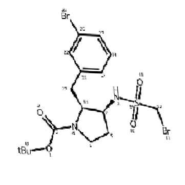 CC(C)(C)OC(=O)N1CC[C@H](NS(=O)(=O)CBr)[C@@H]1Cc1cccc(Br)c1